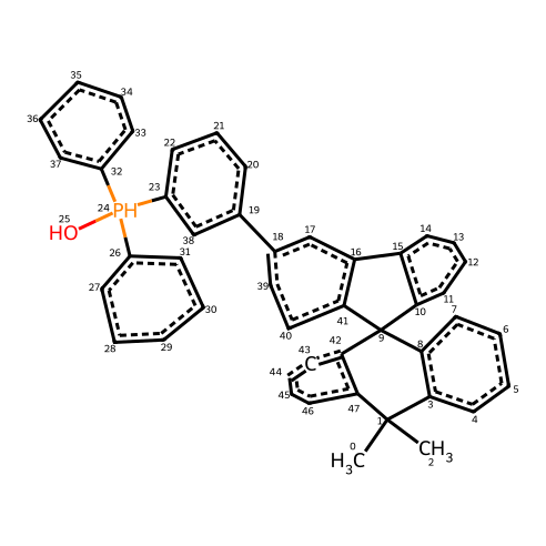 CC1(C)c2ccccc2C2(c3ccccc3-c3cc(-c4cccc([PH](O)(c5ccccc5)c5ccccc5)c4)ccc32)c2ccccc21